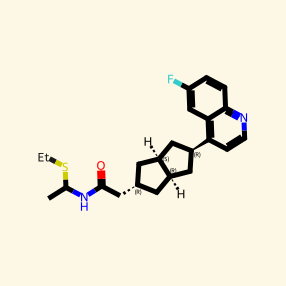 CCSC(C)NC(=O)C[C@H]1C[C@@H]2C[C@H](c3ccnc4ccc(F)cc34)C[C@@H]2C1